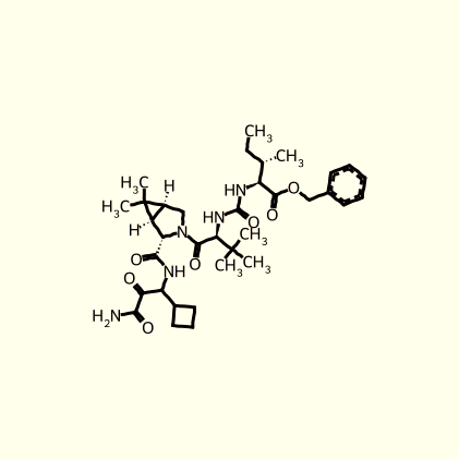 CC[C@H](C)[C@H](NC(=O)N[C@H](C(=O)N1C[C@H]2[C@@H]([C@H]1C(=O)NC(C(=O)C(N)=O)C1CCC1)C2(C)C)C(C)(C)C)C(=O)OCc1ccccc1